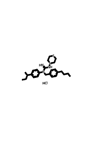 CCCCc1ccc(CN(C(=N)NN2CCSCC2)c2ccc(C(C)CC)cc2)cc1.Cl